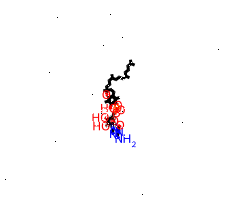 Cc1c(C)c2c(c(C)c1OP(=O)(O)OC[C@H]1O[C@@H](n3cnc(N)nc3=O)[C@@H](O)C1O)CCC(C)(CCCC(C)CCCC(C)CCCC(C)C)O2